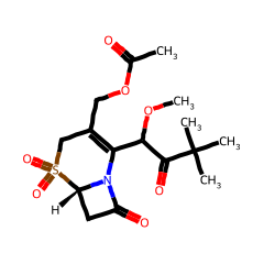 COC(C(=O)C(C)(C)C)C1=C(COC(C)=O)CS(=O)(=O)[C@H]2CC(=O)N12